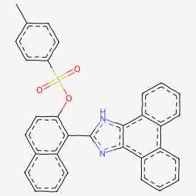 Cc1ccc(S(=O)(=O)Oc2ccc3ccccc3c2-c2nc3c4ccccc4c4ccccc4c3[nH]2)cc1